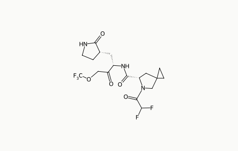 O=C1NCC[C@H]1C[C@H](NC(=O)[C@@H]1CC2(CC2)CN1C(=O)C(F)F)C(=O)COC(F)(F)F